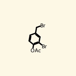 CC(=O)Oc1ccc(CBr)cc1Br